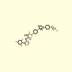 Cc1cc(C)c(N2CCS/C2=N\C(=O)NC(C)C(C)c2ccc(-c3ncn(-c4ccc(OC(F)(F)F)cc4)n3)cc2)c(C)c1